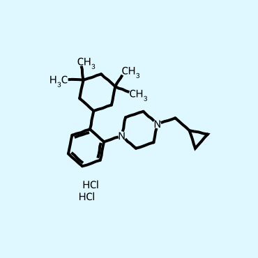 CC1(C)CC(c2ccccc2N2CCN(CC3CC3)CC2)CC(C)(C)C1.Cl.Cl